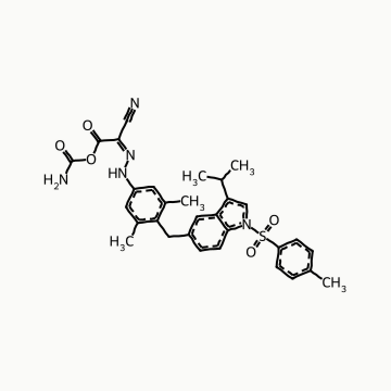 Cc1ccc(S(=O)(=O)n2cc(C(C)C)c3cc(Cc4c(C)cc(N/N=C(/C#N)C(=O)OC(N)=O)cc4C)ccc32)cc1